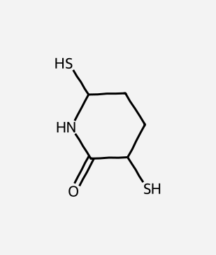 O=C1NC(S)CCC1S